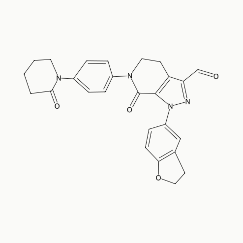 O=Cc1nn(-c2ccc3c(c2)CCO3)c2c1CCN(c1ccc(N3CCCCC3=O)cc1)C2=O